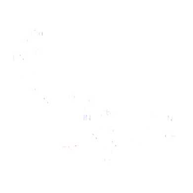 Cc1ncsc1-c1ccc(CNC(=O)[C@@H]2C[C@@H](O)CN2C(=O)[C@@H](NC(=O)COc2ccc(O[C@H]3C[C@@H](NC(=O)OC(C)(C)C)C3)nc2)C(C)(C)C)cc1